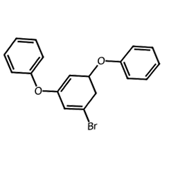 BrC1=CC(Oc2ccccc2)=CC(Oc2ccccc2)C1